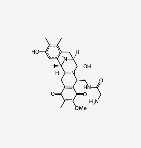 COC1=C(C)C(=O)C2=C(C1=O)[C@H](CNC(=O)[C@H](C)N)N1[C@@H](O)[C@@H]3Cc4c(cc(O)c(C)c4C)[C@@H]([C@@H]1C2)N3C